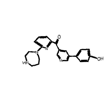 O=C(c1cncc(-c2ccc(O)cc2)c1)c1cccc(N2CCCNCC2)n1